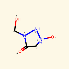 O=C1C[NH+]([O-])NN1CO